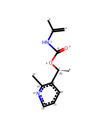 C=C(C)NC(=O)O[C@H](C)c1cccnc1C